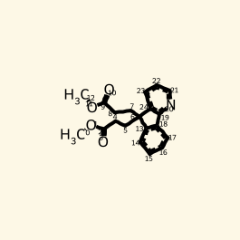 COC(=O)CCC1(CCC(=O)OC)c2ccccc2-c2ncccc21